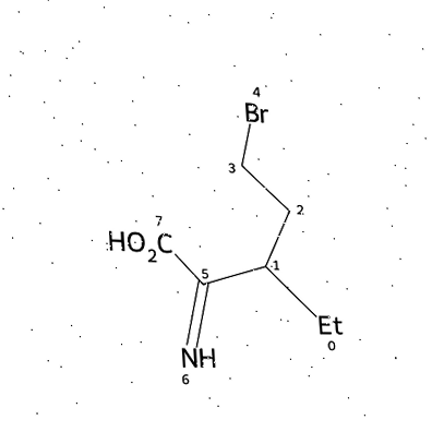 CCC(CCBr)C(=N)C(=O)O